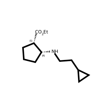 CCOC(=O)[C@H]1CCC[C@H]1NCCC1CC1